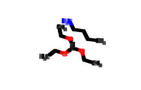 CCCCN.CCO[SiH](OCC)OCC